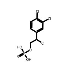 OP(O)(=S)OCC(Cl)c1ccc(Cl)c(Cl)c1